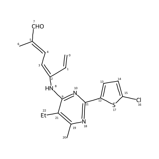 C=C/C(=C\C=C(/C)C=O)Nc1nc(-c2ccc(Cl)s2)nc(C)c1CC